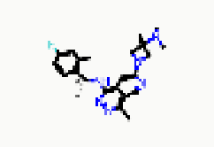 Cc1cc(F)ccc1[C@@H](C)Nc1nnc(C)c2cnc(N3CC(C)(N(C)C)C3)cc12